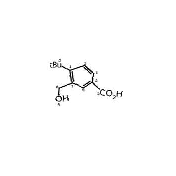 CC(C)(C)c1ccc(C(=O)O)cc1CO